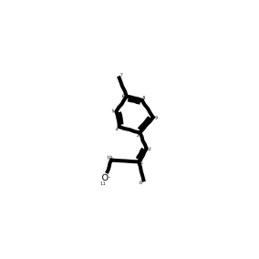 CC(=Cc1ccc(C)cc1)C[O]